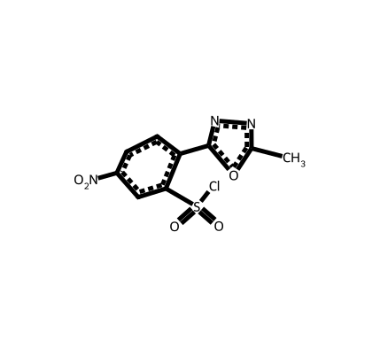 Cc1nnc(-c2ccc([N+](=O)[O-])cc2S(=O)(=O)Cl)o1